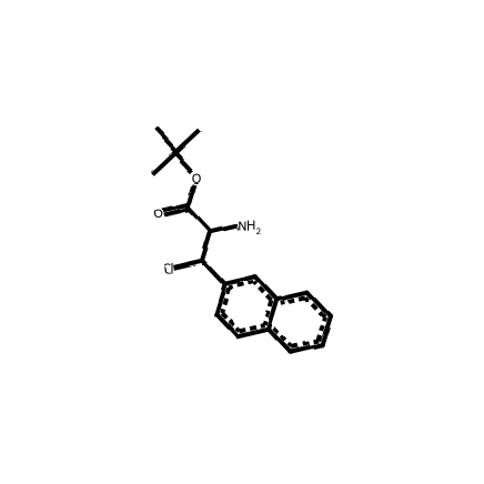 CC(C)(C)OC(=O)C(N)C(Cl)c1ccc2ccccc2c1